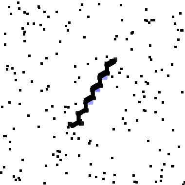 C=C/C=C/C=C/C=C/CCCC